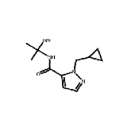 CCCC(C)(C)NC(=O)c1ccnn1CC1CC1